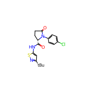 CC(C)(C)c1cc(NC(=O)[C@@H]2CCC(=O)N2c2ccc(Cl)cc2)sn1